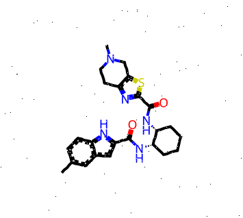 Cc1ccc2[nH]c(C(=O)N[C@H]3CCCC[C@H]3NC(=O)c3nc4c(s3)CN(C)CC4)cc2c1